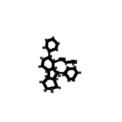 N=CNc1c(-c2ccccc2)ccc2c3ccccc3n(-c3ccccc3)c12